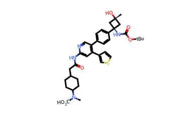 CN(C(=O)O)C1CCC(CC(=O)Nc2cc(-c3ccsc3)c(-c3ccc([C@]4(NC(=O)OC(C)(C)C)C[C@](C)(O)C4)cc3)cn2)CC1